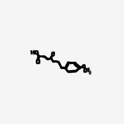 COc1ccc(CCCC(=O)CCC(=O)O)cc1